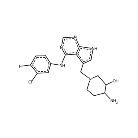 NC1CCN(Cc2c[nH]c3ncnc(Nc4ccc(F)c(Cl)c4)c23)CC1O